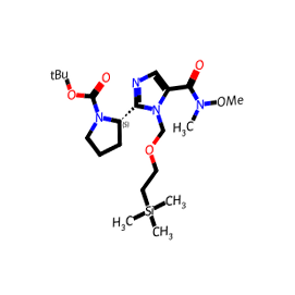 CON(C)C(=O)c1cnc([C@@H]2CCCN2C(=O)OC(C)(C)C)n1COCC[Si](C)(C)C